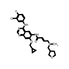 CN(CC=CC(=O)Nc1cc2c(Nc3ccc(F)c(Cl)c3)ncnc2cc1OCC1CC1)CC1CCOC1